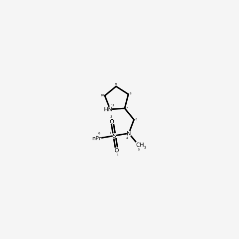 CCCS(=O)(=O)N(C)CC1CCCN1